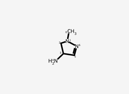 CN1CC(N)C=N1